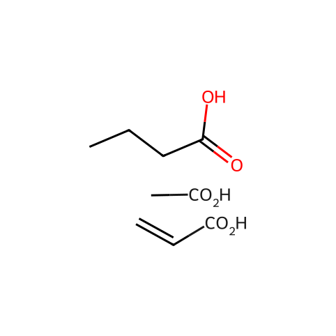 C=CC(=O)O.CC(=O)O.CCCC(=O)O